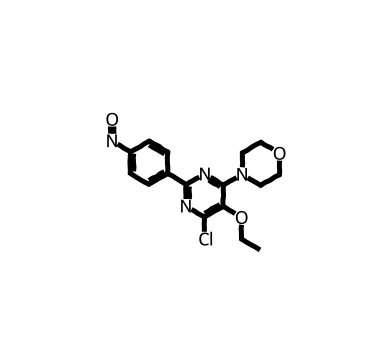 CCOc1c(Cl)nc(-c2ccc(N=O)cc2)nc1N1CCOCC1